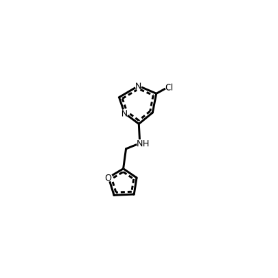 Clc1cc(NCc2ccco2)ncn1